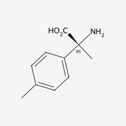 Cc1ccc([C@@](C)(N)C(=O)O)cc1